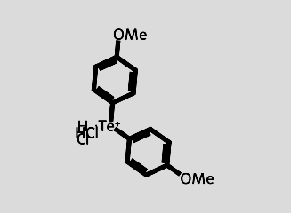 COc1ccc([Te+]c2ccc(OC)cc2)cc1.Cl.Cl